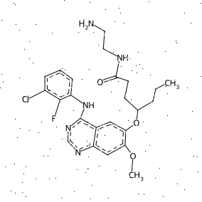 CCCC(CCC(=O)NCCN)Oc1cc2c(Nc3cccc(Cl)c3F)ncnc2cc1OC